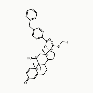 C[C@]12C=CC(=O)C=C1CCC1C3CC[C@](OC(=O)c4ccc(Cc5ccccc5)cc4)(C(=O)SCF)[C@@]3(C)C[C@H](O)C12F